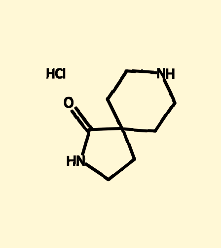 Cl.O=C1NCCC12CCNCC2